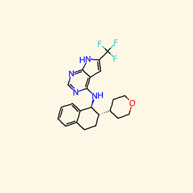 FC(F)(F)c1cc2c(N[C@@H]3c4ccccc4CC[C@H]3C3CCOCC3)ncnc2[nH]1